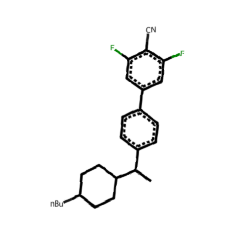 CCCCC1CCC(C(C)c2ccc(-c3cc(F)c(C#N)c(F)c3)cc2)CC1